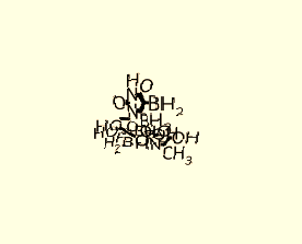 Bc1c(B)n(C(CO)O[C@@](F)(CO)C(B)(B)OP(=O)(O)NC(C)C(=O)O)c(=O)[nH]c1=O